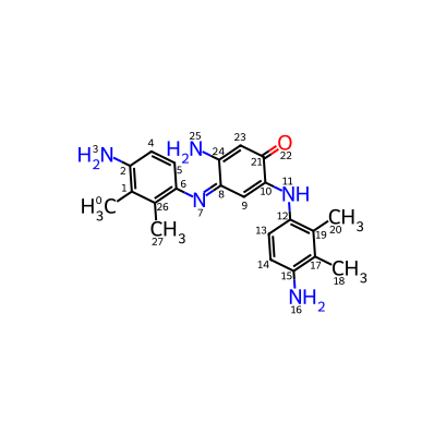 Cc1c(N)ccc(/N=C2/C=C(Nc3ccc(N)c(C)c3C)C(=O)C=C2N)c1C